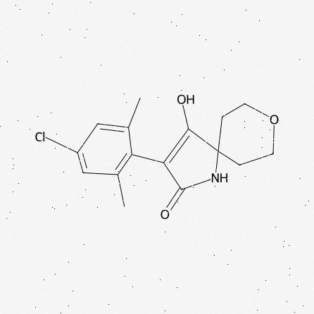 Cc1cc(Cl)cc(C)c1C1=C(O)C2(CCOCC2)NC1=O